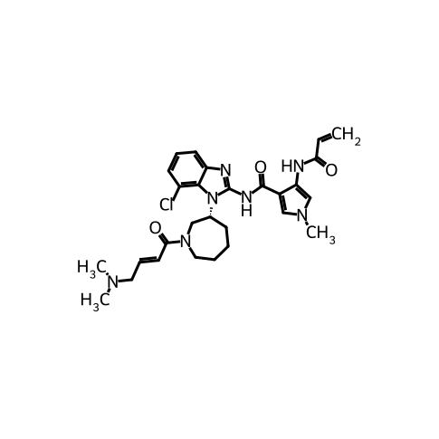 C=CC(=O)Nc1cn(C)cc1C(=O)Nc1nc2cccc(Cl)c2n1[C@@H]1CCCCN(C(=O)/C=C/CN(C)C)C1